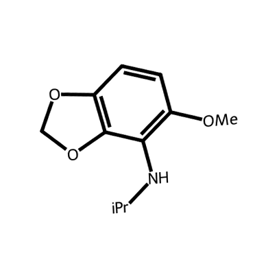 COc1ccc2c(c1NC(C)C)OCO2